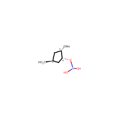 CO[C@H]1C[C@H](C(=O)O)C[C@H]1ON(O)O